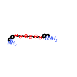 Nc1ccc2ccc(OCCOCCOCCOCCOCCOc3ccc4ccc(N)nc4c3)cc2n1